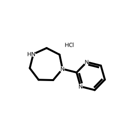 Cl.c1cnc(N2CCCNCC2)nc1